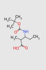 CCC(NC(=O)OC(C)(C)C)C(C)C(=O)O